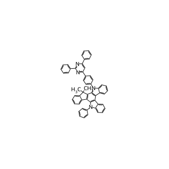 CC1(C)c2ccccc2-c2c1c1c(c3ccccc3n1-c1ccc(-c3cc(-c4ccccc4)nc(-c4ccccc4)n3)cc1)c1c3ccccc3n(-c3ccccc3)c21